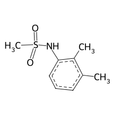 Cc1cccc(NS(C)(=O)=O)c1C